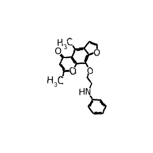 Cc1cc(=O)c2c(C)c3ccoc3c(OCCNc3ccccc3)c2o1